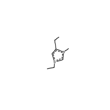 CCc1c[n+](CC)cn1C